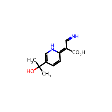 CC(C)(O)C1=CN/C(=C(\C=N)C(=O)O)C=C1